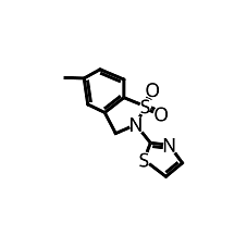 Cc1ccc2c(c1)CN(c1nccs1)S2(=O)=O